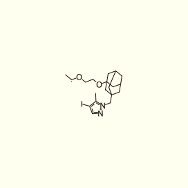 C[CH]OCCOC12CC3CC(CC(Cn4ncc(I)c4C)(C3)C1)C2